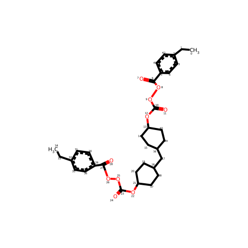 CCc1ccc(C(=O)OOC(=O)OC2CCC(CC3CCC(OC(=O)OOC(=O)c4ccc(CC)cc4)CC3)CC2)cc1